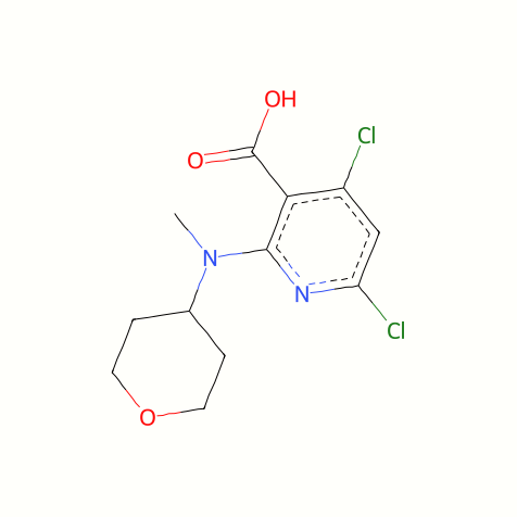 CN(c1nc(Cl)cc(Cl)c1C(=O)O)C1CCOCC1